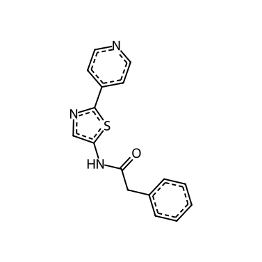 O=C(Cc1ccccc1)Nc1cnc(-c2ccncc2)s1